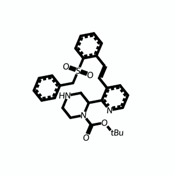 CC(C)(C)OC(=O)N1CCNCC1c1ncccc1C=Cc1ccccc1S(=O)(=O)Cc1ccccc1